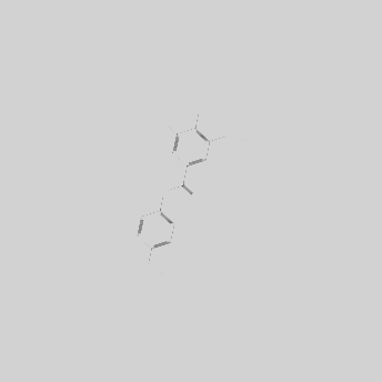 Cc1ccc(OC(=O)c2cc(C)c(C)c(C)c2)cc1